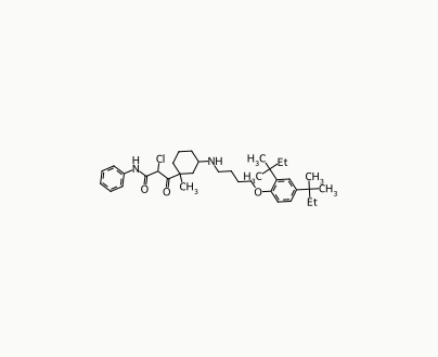 CCC(C)(C)c1ccc(OCCCCNC2CCCC(C)(C(=O)C(Cl)C(=O)Nc3ccccc3)C2)c(C(C)(C)CC)c1